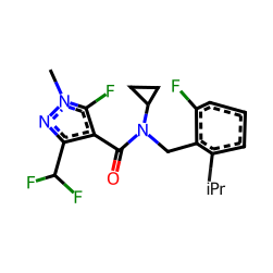 CC(C)c1cccc(F)c1CN(C(=O)c1c(C(F)F)nn(C)c1F)C1CC1